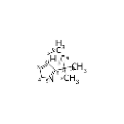 CCC1=CCN=C1C(C)(C)C